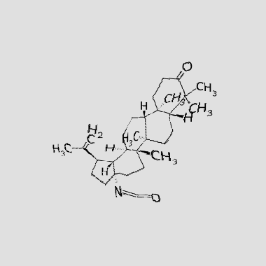 C=C(C)[C@@H]1CC[C@]2(N=C=O)CC[C@]3(C)[C@H](CC[C@@H]4[C@@]5(C)CCC(=O)C(C)(C)[C@@H]5CC[C@]43C)[C@@H]12